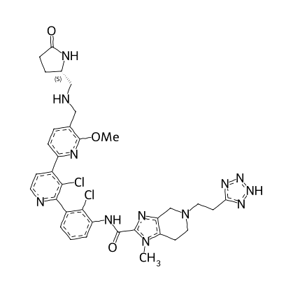 COc1nc(-c2ccnc(-c3cccc(NC(=O)c4nc5c(n4C)CCN(CCc4nn[nH]n4)C5)c3Cl)c2Cl)ccc1CNC[C@@H]1CCC(=O)N1